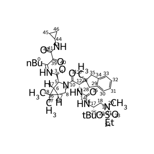 CCCCC(NC(=O)[C@@H]1[C@@H]2[C@H](CN1C(=O)[C@@H](NC(=O)N[C@H](CN(C)S(=O)(=O)CC)C(C)(C)C)C1(C)Cc3ccccc3C1)C2(C)C)C(=O)C(=O)NC1CC1